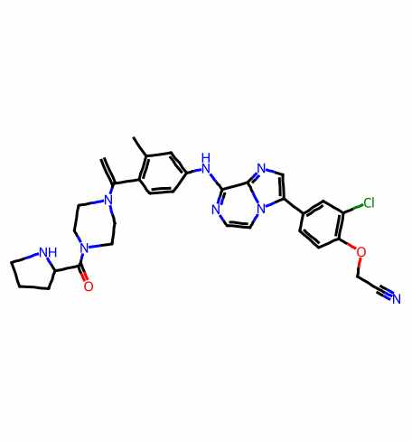 C=C(c1ccc(Nc2nccn3c(-c4ccc(OCC#N)c(Cl)c4)cnc23)cc1C)N1CCN(C(=O)C2CCCN2)CC1